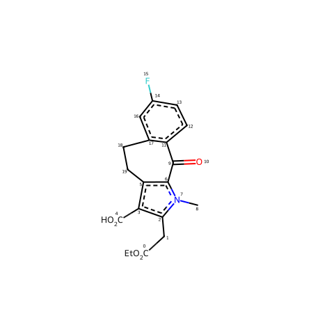 CCOC(=O)Cc1c(C(=O)O)c2c(n1C)C(=O)c1ccc(F)cc1CC2